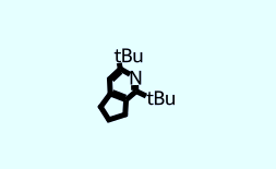 CC(C)(C)c1cc2c(c(C(C)(C)C)n1)CCC2